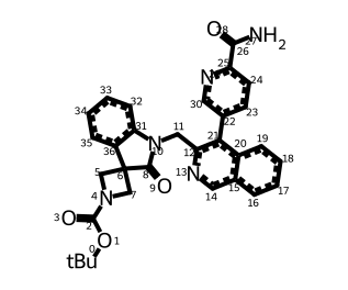 CC(C)(C)OC(=O)N1CC2(C1)C(=O)N(Cc1ncc3ccccc3c1-c1ccc(C(N)=O)nc1)c1ccccc12